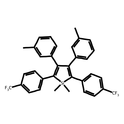 Cc1cccc(C2=C(c3ccc(C(F)(F)F)cc3)[Si](C)(C)C(c3ccc(C(F)(F)F)cc3)=C2c2cccc(C)c2)c1